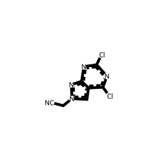 N#CCn1cc2c(Cl)nc(Cl)nc2n1